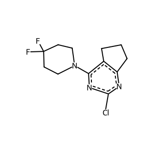 FC1(F)CCN(c2nc(Cl)nc3c2CCC3)CC1